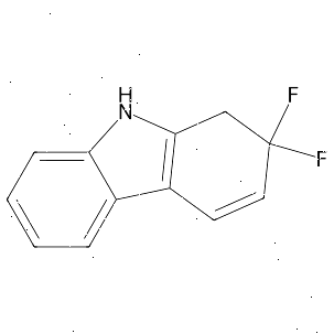 FC1(F)C=Cc2c([nH]c3ccccc23)C1